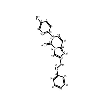 O=c1n(-c2ccc(F)cn2)ccc2nc(COc3ccccc3)cn12